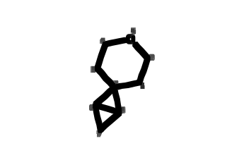 C1CC2(CCO1)C1CC12